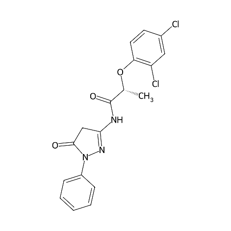 C[C@@H](Oc1ccc(Cl)cc1Cl)C(=O)NC1=NN(c2ccccc2)C(=O)C1